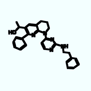 CC(O)c1cc2c(nc1-c1ccccc1)N(c1ccnc(NCCc3ccccc3)n1)CCC2